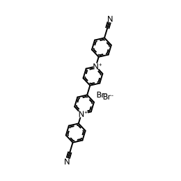 N#Cc1ccc(-[n+]2ccc(-c3cc[n+](-c4ccc(C#N)cc4)cc3)cc2)cc1.[Br-].[Br-]